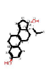 CCC[C@]12CCC3=C(CCc4cc(O)ccc43)C1=CC[C@@H]2O